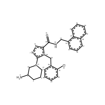 NC1CCCN(c2nnc(C(=O)NCc3cccc4ccccc34)n2Cc2ccccc2Cl)C1